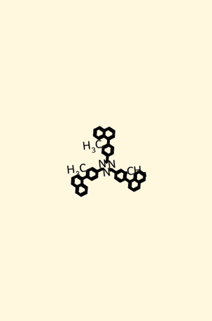 Cc1cc(-c2nc(-c3ccc(-c4cccc5ccccc45)c(C)c3)nc(-c3ccc(-c4cccc5ccccc45)c(C)c3)n2)ccc1-c1cccc2ccccc12